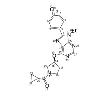 CCn1c(-c2ccc(C(F)(F)F)cc2)nc2c(O[C@H]3CCN(C(=O)C4CC4)C3)ncnc21